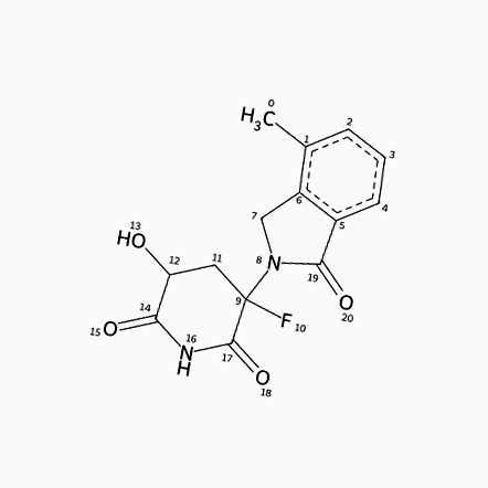 Cc1cccc2c1CN(C1(F)CC(O)C(=O)NC1=O)C2=O